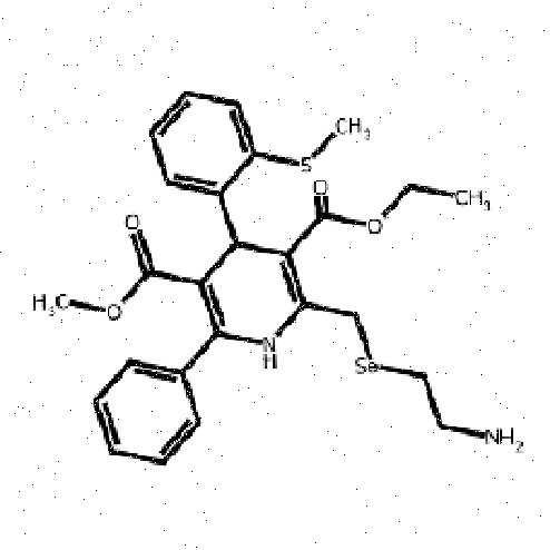 CCOC(=O)C1=C(C[Se]CCN)NC(c2ccccc2)=C(C(=O)OC)C1c1ccccc1SC